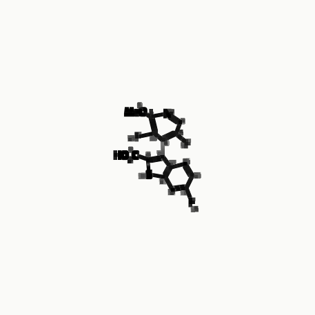 COc1ncc(F)c(-c2c(C(=O)O)sc3cc(F)ccc23)c1F